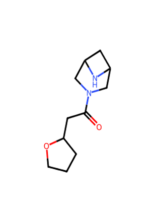 O=C(CC1CCCO1)N1CC2CC(C1)N2